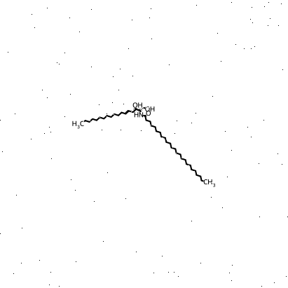 CCCCCCCCCCCCC=CC[C@@H](O)[C@H](CO)NC(=O)CCCCCCCCCCCCCCCCCCCCCCCC